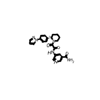 NC(=O)c1cncc(NC(=O)C(=O)N2CCCC[C@H]2c2ccc(-n3cccn3)cc2)c1